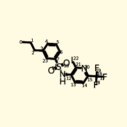 CCCc1cccc(S(=O)(=O)Nc2ccc(C(F)(F)F)nc2I)c1